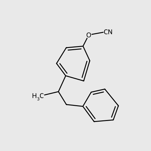 CC(Cc1ccccc1)c1ccc(OC#N)cc1